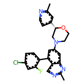 Cc1cc([C@H]2CN(c3cc(-c4ccc(Cl)cc4F)c4cnc(C)nc4c3)CCO2)ccn1